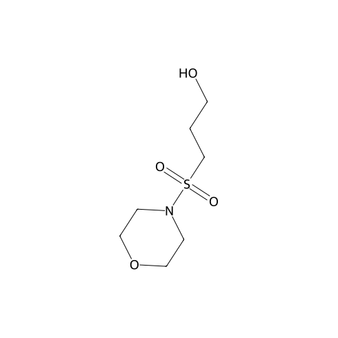 O=S(=O)(CCCO)N1CCOCC1